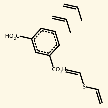 C=CC.C=CC.C=CSC=C.O=C(O)c1cccc(C(=O)O)c1